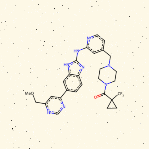 COCc1cc(-c2ccc3nc(Nc4cc(CN5CCN(C(=O)C6(C(F)(F)F)CC6)CC5)ccn4)[nH]c3c2)ncn1